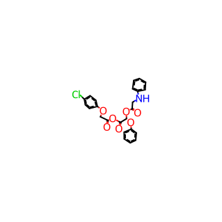 O=C(COc1ccc(Cl)cc1)OC(=O)C(OC(=O)CNc1ccccc1)Oc1ccccc1